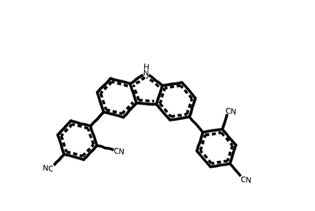 N#Cc1ccc(-c2ccc3[nH]c4ccc(-c5ccc(C#N)cc5C#N)cc4c3c2)c(C#N)c1